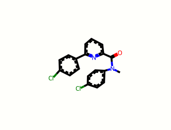 CN(C(=O)c1cccc(-c2ccc(Cl)cc2)n1)c1ccc(Cl)cc1